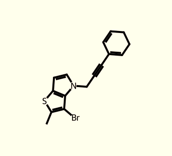 Cc1sc2ccn(CC#CC3=CCCC=C3)c2c1Br